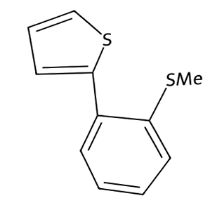 CSc1ccccc1-c1cccs1